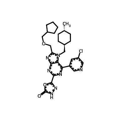 C[C@H]1CC[C@H](Cn2c(COCC3CCCC3)nc3nc(-c4n[nH]c(=O)o4)nc(-c4cncc(Cl)c4)c32)CC1